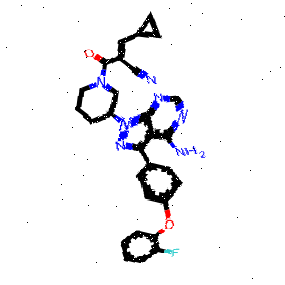 N#C/C(=C\C1CC1)C(=O)N1CCC[C@H](n2nc(-c3ccc(Oc4ccccc4F)cc3)c3c(N)ncnc32)C1